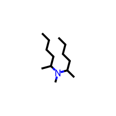 CCCCC(C)N(C)C(C)CCCC